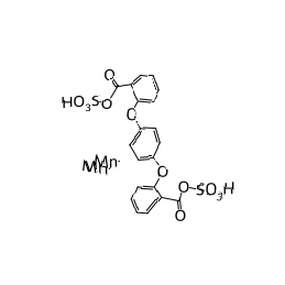 O=C(OS(=O)(=O)O)c1ccccc1Oc1ccc(Oc2ccccc2C(=O)OS(=O)(=O)O)cc1.[Mn].[Mn]